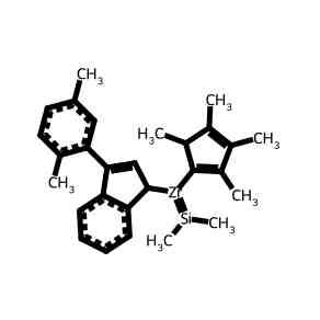 CC1=C(C)C(C)[C]([Zr]([CH]2C=C(c3cc(C)ccc3C)c3ccccc32)=[Si](C)C)=C1C